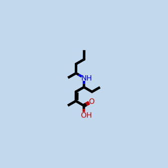 CCCC(C)NC(C=C(C)C(=O)O)CC